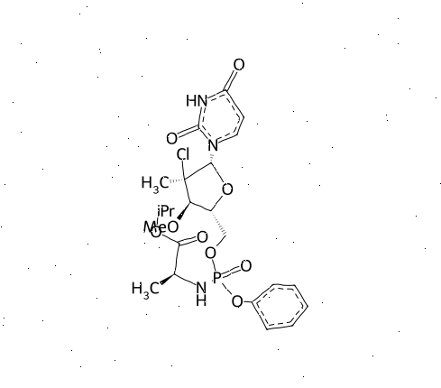 CO[C@@H]1[C@@H](COP(=O)(N[C@@H](C)C(=O)OC(C)C)Oc2ccccc2)O[C@@H](n2ccc(=O)[nH]c2=O)[C@]1(C)Cl